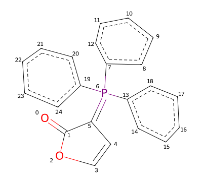 O=C1OC=CC1=P(c1ccccc1)(c1ccccc1)c1ccccc1